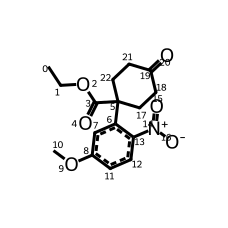 CCOC(=O)C1(c2cc(OC)ccc2[N+](=O)[O-])CCC(=O)CC1